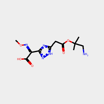 CO/N=C(\C(=O)O)c1n[nH]c(CC(=O)OC(C)(C)CN)n1